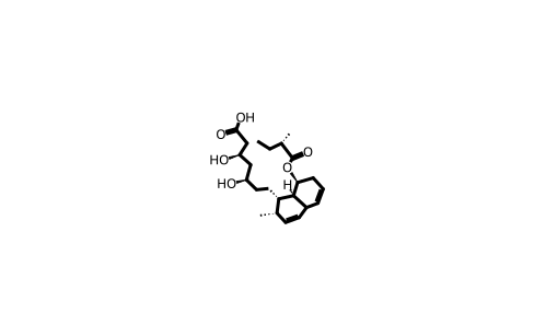 CC[C@H](C)C(=O)O[C@H]1CC=CC2C=C[C@H](C)[C@H](CC[C@@H](O)C[C@@H](O)CC(=O)O)[C@H]21